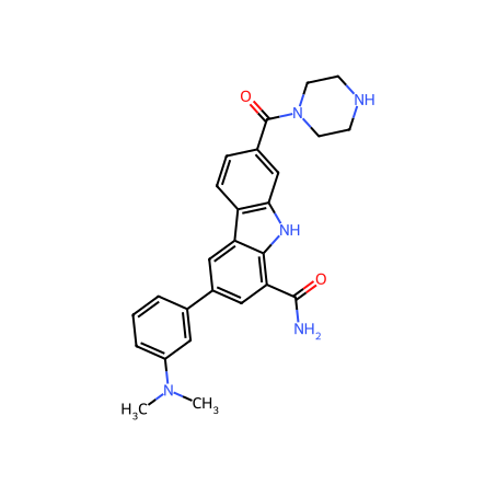 CN(C)c1cccc(-c2cc(C(N)=O)c3[nH]c4cc(C(=O)N5CCNCC5)ccc4c3c2)c1